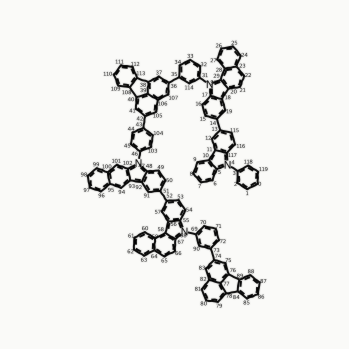 c1ccc(-n2c3ccccc3c3cc(-c4ccc5c(c4)c4ccc6ccccc6c4n5-c4cccc(-c5cc6c7c(cc(-c8ccc(-n9c%10ccc(-c%11ccc%12c(c%11)c%11c%13ccccc%13ccc%11n%12-c%11cccc(-c%12cc%13c%14c(cccc%14c%12)-c%12ccccc%12-%13)c%11)cc%10c%10cc%11ccccc%11cc%109)cc8)cc7c5)-c5ccccc5-6)c4)ccc32)cc1